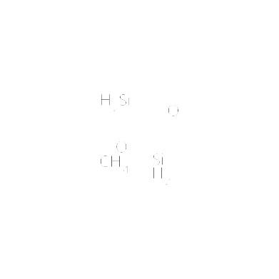 C.O1[SiH2]O[SiH2]1